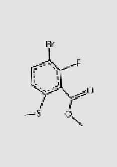 COC(=O)c1c(SC)ccc(Br)c1F